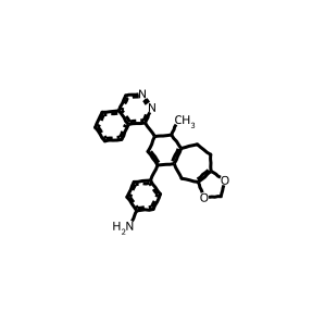 CC1C2=C(CC3=C(CC2)OCO3)C(c2ccc(N)cc2)=CC1c1nncc2ccccc12